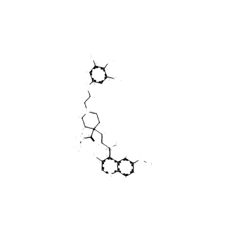 COc1ccc2ncc(F)c([C@H](F)CCC3(C(=O)NO)CCN(CCOc4cc(F)c(F)c(F)c4)CC3)c2c1